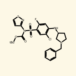 CC(C)(C)OC(=O)N(c1ccsn1)S(=O)(=O)c1cc(Cl)c(N[C@H]2CCN(Cc3ccccc3)C2)cc1F